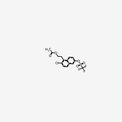 CC(=O)OCCc1c(Cl)ccc2cc(OS(=O)(=O)C(F)(F)F)ccc12